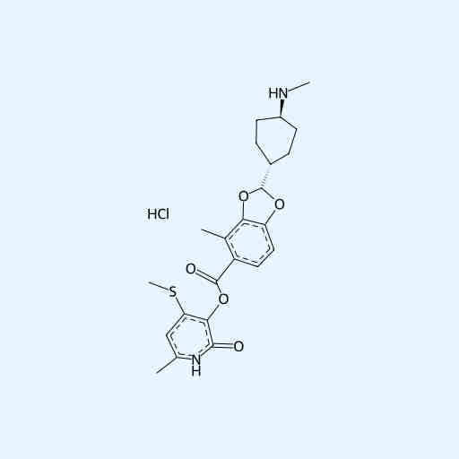 CN[C@H]1CC[C@H](C2Oc3ccc(C(=O)Oc4c(SC)cc(C)[nH]c4=O)c(C)c3O2)CC1.Cl